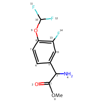 COC(=O)C(N)c1ccc(OC(F)F)c(F)c1